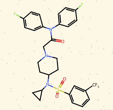 O=C(CN1CCC(N(C2CC2)S(=O)(=O)c2cccc(C(F)(F)F)c2)CC1)N(c1ccc(F)cc1)c1ccc(F)cc1